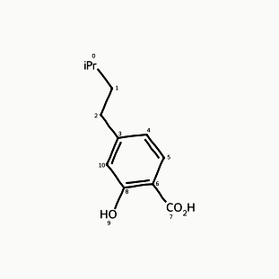 CC(C)CCc1ccc(C(=O)O)c(O)c1